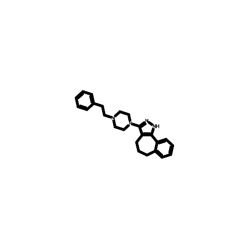 c1ccc(CCN2CCN(c3n[nH]c4c3CCCc3ccccc3-4)CC2)cc1